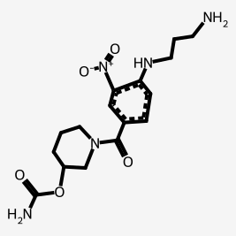 NCCCNc1ccc(C(=O)N2CCCC(OC(N)=O)C2)cc1[N+](=O)[O-]